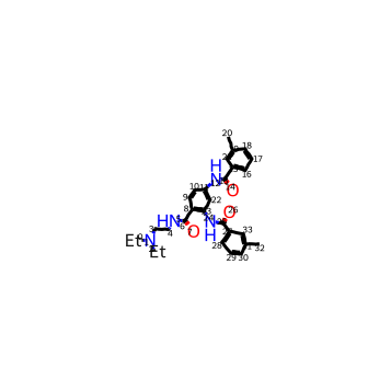 CCN(CC)CCNC(=O)c1ccc(NC(=O)c2cccc(C)c2)cc1NC(=O)c1cccc(C)c1